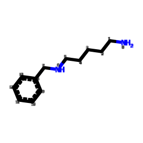 NCCCCCNCc1ccccc1